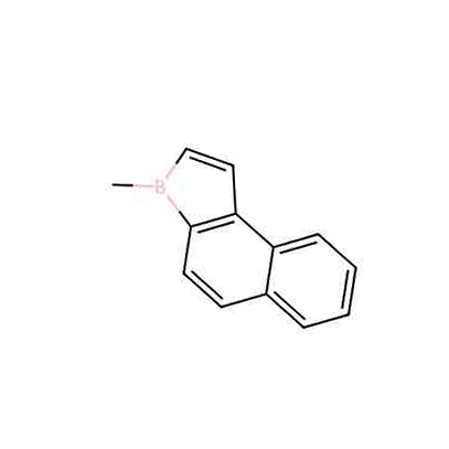 CB1C=Cc2c1ccc1ccccc21